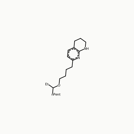 CCCCCC(CC)OCCCCc1ccc2c(n1)NCCC2